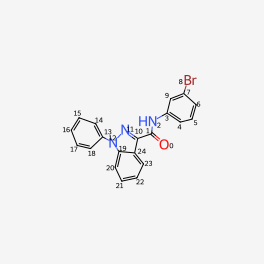 O=C(Nc1cccc(Br)c1)c1nn(-c2ccccc2)c2ccccc12